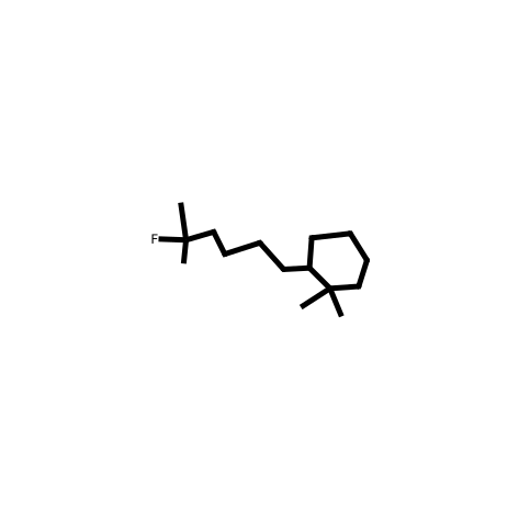 CC(C)(F)CCCCC1CCCCC1(C)C